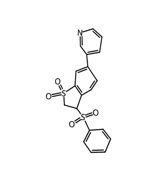 O=S1(=O)CC(S(=O)(=O)c2ccccc2)c2ccc(-c3cccnc3)cc21